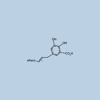 CCCCC/C=C/Cc1cc(O)c(O)c(C(=O)O)c1